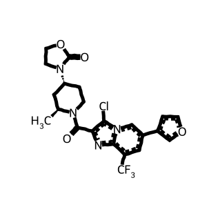 C[C@H]1C[C@H](N2CCOC2=O)CCN1C(=O)c1nc2c(C(F)(F)F)cc(-c3ccoc3)cn2c1Cl